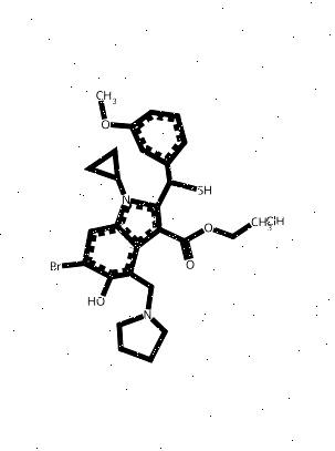 CCOC(=O)c1c(C(S)c2cccc(OC)c2)n(C2CC2)c2cc(Br)c(O)c(CN3CCCC3)c12.Cl